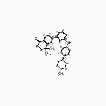 CN1CCN(c2ccc(Nc3nccc(-c4ccc5c(c4)C(C)(C)CNC5=O)n3)cc2)CC1